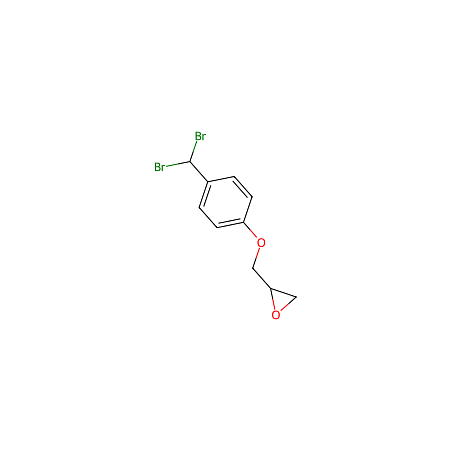 BrC(Br)c1ccc(OCC2CO2)cc1